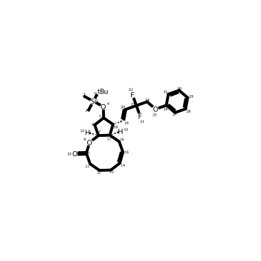 CC(C)(C)[Si](C)(C)OC1C[C@@H]2OC(=O)CCC/C=C\C[C@@H]2[C@H]1/C=C/C(F)(F)COc1ccccc1